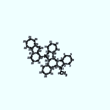 Cn1c2ccccc2c2c3c4ccccc4n(-c4cccc5c4sc4ccccc45)c3c3ccccc3c21